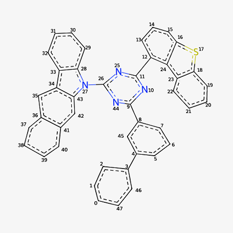 c1ccc(-c2cccc(-c3nc(-c4cccc5sc6ccccc6c45)nc(-n4c5ccccc5c5cc6ccccc6cc54)n3)c2)cc1